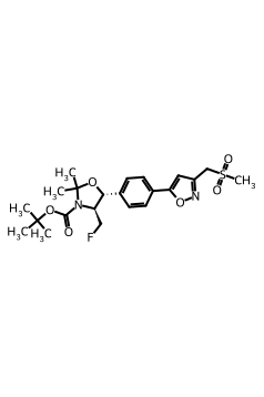 CC(C)(C)OC(=O)N1[C@H](CF)[C@@H](c2ccc(-c3cc(CS(C)(=O)=O)no3)cc2)OC1(C)C